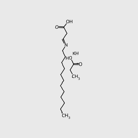 CCC(=O)O.CCCCCCCCCCCCN=CCC(=O)O.[KH]